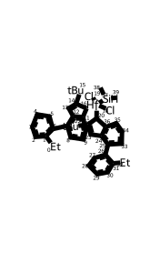 CCc1ccccc1-c1cccc2c1C=C(C(C)(C)C)[CH]2[Hf]([Cl])([Cl])([CH]1C(C(C)(C)C)=Cc2c(-c3ccccc3CC)cccc21)[SiH](C)C